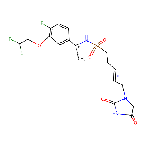 C[C@@H](NS(=O)(=O)CC/C=C/CN1CC(=O)NC1=O)c1ccc(F)c(OCC(F)F)c1